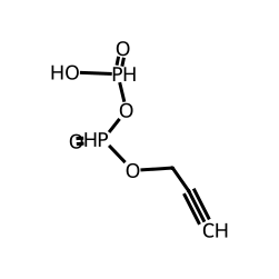 C#CCO[PH](=O)O[PH](=O)O